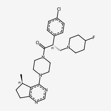 C[C@@H]1CCc2ncnc(N3CCN(C(=O)[C@@H](CN4CCC(F)CC4)c4ccc(Cl)cc4)CC3)c21